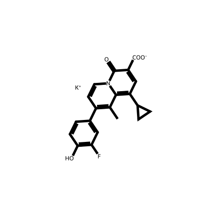 Cc1c(-c2ccc(O)c(F)c2)ccn2c(=O)c(C(=O)[O-])cc(C3CC3)c12.[K+]